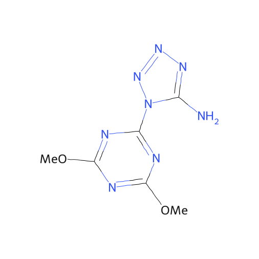 COc1nc(OC)nc(-n2nnnc2N)n1